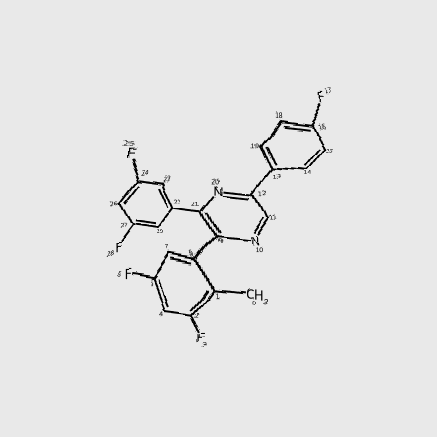 Cc1c(F)cc(F)cc1-c1ncc(-c2ccc(F)cc2)nc1-c1cc(F)cc(F)c1